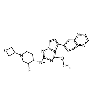 COc1nc(N[C@H]2CCN(C3COC3)C[C@H]2F)nn2ccc(-c3ccc4nccnc4c3)c12